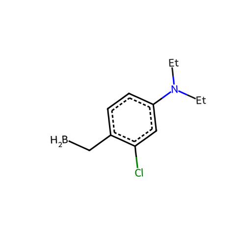 BCc1ccc(N(CC)CC)cc1Cl